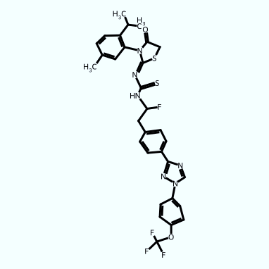 Cc1ccc(C(C)C)c(N2C(=O)CS/C2=N\C(=S)NC(F)Cc2ccc(-c3ncn(-c4ccc(OC(F)(F)F)cc4)n3)cc2)c1